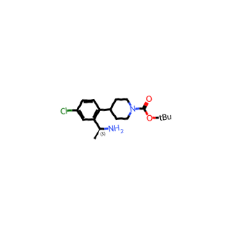 C[C@H](N)c1cc(Cl)ccc1C1CCN(C(=O)OC(C)(C)C)CC1